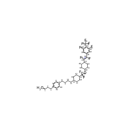 C=CCCc1ccc(CCCCC2CCC(C(F)(F)OC3CCC(/C(F)=C(\F)c4cc(F)c(C(F)(F)F)c(F)c4)CC3)CC2)cc1